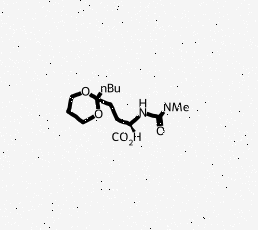 CCCCC1(CC[C@@H](NC(=O)NC)C(=O)O)OCCCO1